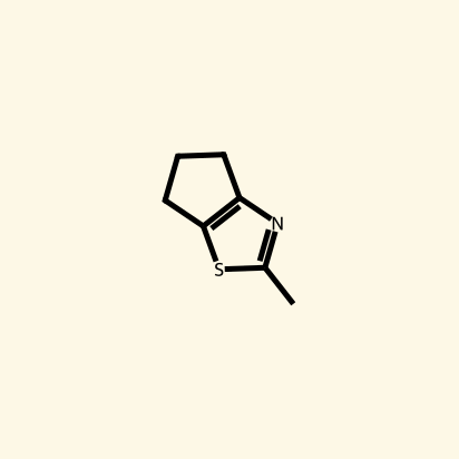 Cc1nc2c(s1)CCC2